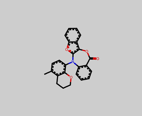 Cc1ccc(N2c3ccccc3C(=O)Oc3c2oc2ccccc32)c2c1CCCO2